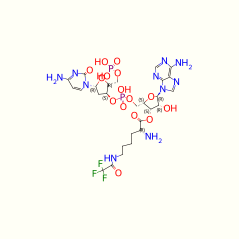 Nc1ccn([C@H]2C[C@H](OP(=O)(O)OC[C@@H]3O[C@@H](n4cnc5c(N)ncnc54)[C@H](O)[C@@H]3OC(=O)[C@H](N)CCCCNC(=O)C(F)(F)F)[C@@H](COP(=O)(O)O)O2)c(=O)n1